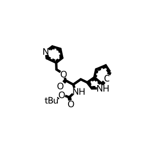 CC(C)(C)OC(=O)NC(Cc1c[nH]c2ccccc12)C(=O)OCc1cccnc1